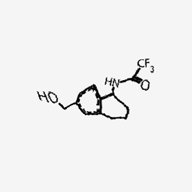 O=C(NC1CCCc2cc(CO)ccc21)C(F)(F)F